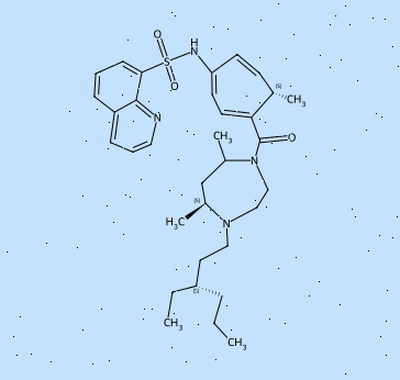 CCC[C@H](CC)CCN1CCN(C(=O)C2=CC=C(NS(=O)(=O)c3cccc4cccnc34)C=C[C@@H]2C)C(C)C[C@@H]1C